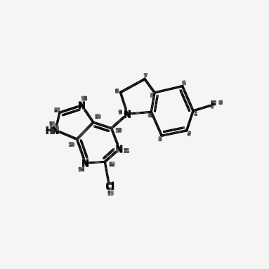 Fc1ccc2c(c1)CCN2c1nc(Cl)nc2[nH]cnc12